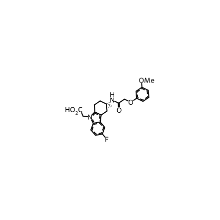 COc1cccc(OCC(=O)N[C@H]2CCc3c(c4cc(F)ccc4n3CC(=O)O)C2)c1